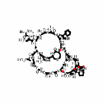 C=C1NC(=O)[C@H](C(C)C)NC(=O)[C@@H](NC(=O)/C(=C/C)NC(=O)[C@@H](N)[C@@H](C)CC)CSC[C@@H]2NC(=O)[C@H]([C@@H](C)O)NC(=O)[C@@H]3CSCC[C@H](NC(=O)[C@H](CSC[C@@H]4NC(=O)CNC(=O)[C@H](CSC[C@@H]5NC(=O)[C@H](Cc6cnc[nH]6)NC(=O)[C@H](CSC[C@@H](C(=O)N6CCC[C@H]6C(=O)NCC(=O)O)NC5=O)NC4=O)NC(=O)CNC(=O)CNC(=O)CNC(=O)[C@H](CCC(=O)O)NC2=O)NC(=O)[C@H](Cc2c[nH]c4ccccc24)NC1=O)C(=O)N3